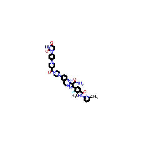 Cc1cccc(NC(=O)c2ccc(-c3nn4c(c3C(N)=O)Nc3ccc(N5CCN(C(=O)C6CCN(c7ccc(N8CCC(=O)NC8=O)cc7)CC6)CC5)cc3CC4)c(F)c2C)n1